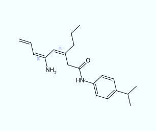 C=C/C=C(N)\C=C(\CCC)CC(=O)Nc1ccc(C(C)C)cc1